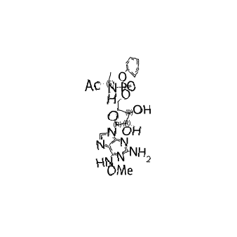 CONc1nc(N)nc2c1ncn2[C@@H]1OC(COP(=O)(N[C@@H](C)C(C)=O)Oc2ccccc2)[C@@H](O)[C@@]1(C)O